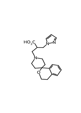 O=C(O)C(CN1CCC2(CC1)OCCc1ccccc12)Cn1cccn1